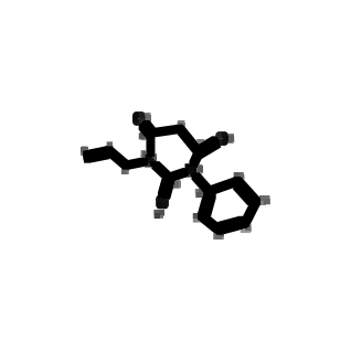 C=CCN1C(=O)CC(=O)N(c2ccccc2)C1=O